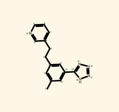 Cc1cc([CH]Cc2cccnc2)cc(-c2nnn[nH]2)c1